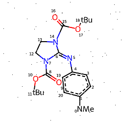 CNc1ccc(N=C2N(C(=O)OC(C)(C)C)CCN2C(=O)OC(C)(C)C)cc1